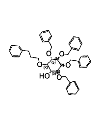 O[C@H]1[C@@H](OCCCc2ccccc2)[C@H](OCc2ccccc2)[C@@H](OCc2ccccc2)[C@H](OCc2ccccc2)[C@H]1OCc1ccccc1